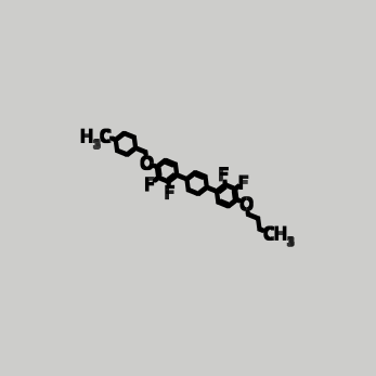 CCCCOc1ccc(C2C=CC(c3ccc(OCC4CCC(C)CC4)c(F)c3F)CC2)c(F)c1F